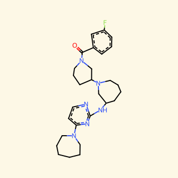 O=C(c1cccc(F)c1)N1CCCC(N2CCCCC(Nc3nccc(N4CCCCCC4)n3)C2)C1